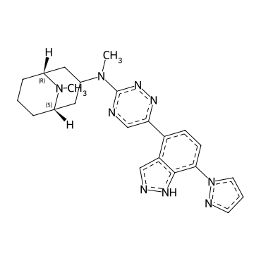 CN(c1ncc(-c2ccc(-n3cccn3)c3[nH]ncc23)nn1)C1C[C@H]2CCC[C@@H](C1)N2C